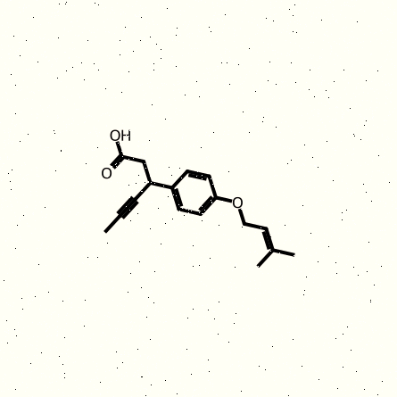 CC#CC(CC(=O)O)c1ccc(OCC=C(C)C)cc1